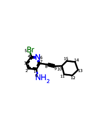 Nc1ccc(Br)nc1C#CC1CCCCC1